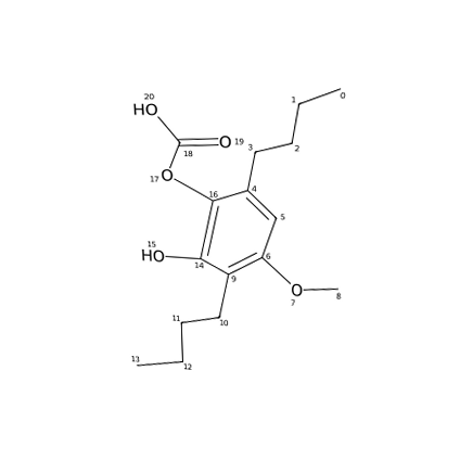 CCCCc1cc(OC)c(CCCC)c(O)c1OC(=O)O